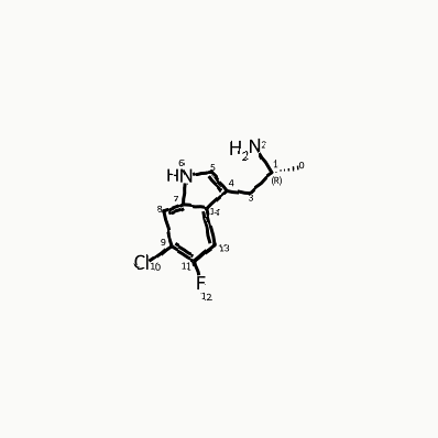 C[C@@H](N)Cc1c[nH]c2cc(Cl)c(F)cc12